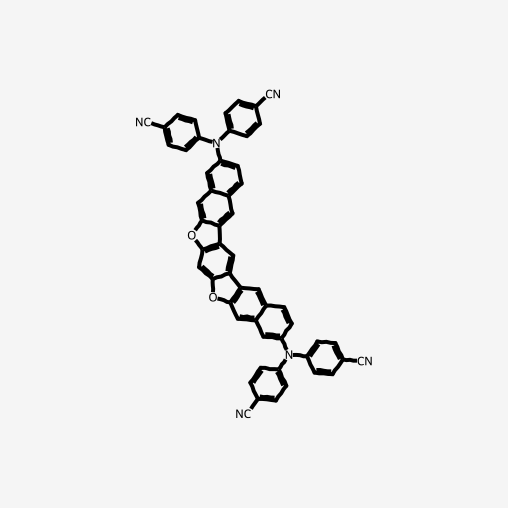 N#Cc1ccc(N(c2ccc(C#N)cc2)c2ccc3cc4c(cc3c2)oc2cc3oc5cc6cc(N(c7ccc(C#N)cc7)c7ccc(C#N)cc7)ccc6cc5c3cc24)cc1